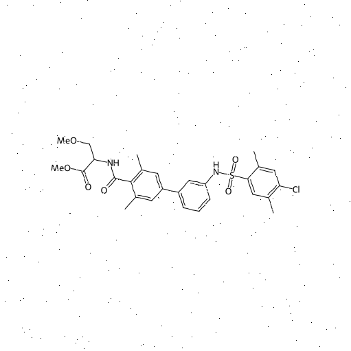 COCC(NC(=O)c1c(C)cc(-c2cccc(NS(=O)(=O)c3cc(C)c(Cl)cc3C)c2)cc1C)C(=O)OC